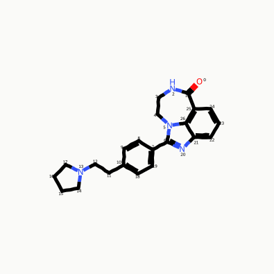 O=C1NCCn2c(-c3ccc(CCN4CCCC4)cc3)nc3cccc1c32